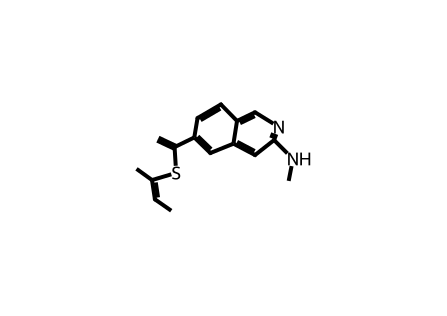 C=C(S/C(C)=C\C)c1ccc2cnc(NC)cc2c1